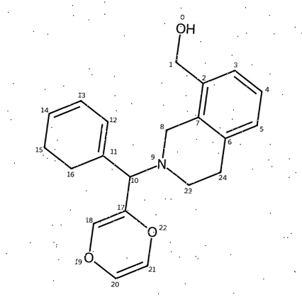 OCc1cccc2c1CN(C(C1=CC=CCC1)C1=COC=CO1)CC2